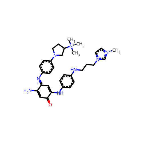 C[n+]1ccn(CCCNc2ccc(NC3=C/C(=N\c4ccc(N5CCC([N+](C)(C)C)C5)cc4)C(N)=CC3=O)cc2)c1